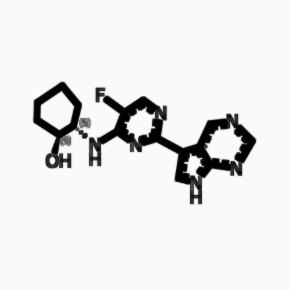 O[C@H]1CCCC[C@@H]1Nc1nc(-c2c[nH]c3ncncc23)ncc1F